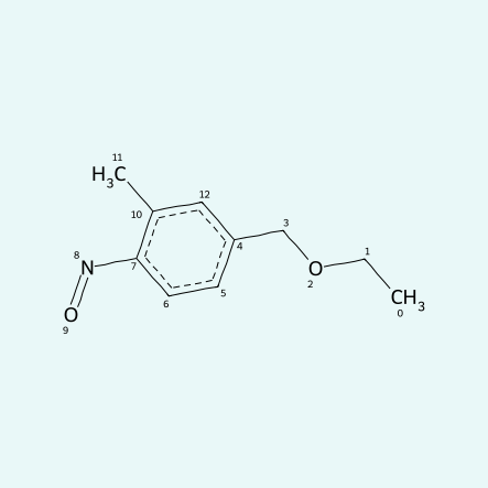 CCOCc1ccc(N=O)c(C)c1